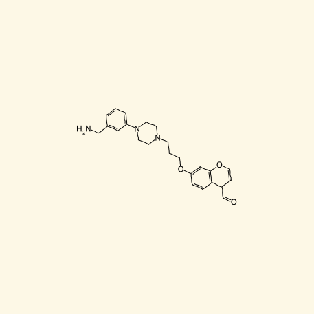 NCc1cccc(N2CCN(CCCOc3ccc4c(c3)OC=CC4C=O)CC2)c1